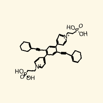 O=P(O)(O)CC[n+]1ccc(-c2cc(C#CC3=CCCCC3)c(-c3cc[n+](CCP(=O)(O)O)cc3)cc2C#CC2=CCCCC2)cc1